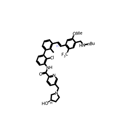 CCCCNCc1cc(C(F)(F)F)c(/C=C/c2cccc(-c3cccc(NC(=O)c4ccc(CN5CC[C@@H](O)C5)cn4)c3Cl)c2C)cc1OC